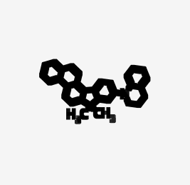 CC1(C)c2cc(N3CCCc4ccccc43)ccc2-c2c1ccc1c2ccc2ccccc21